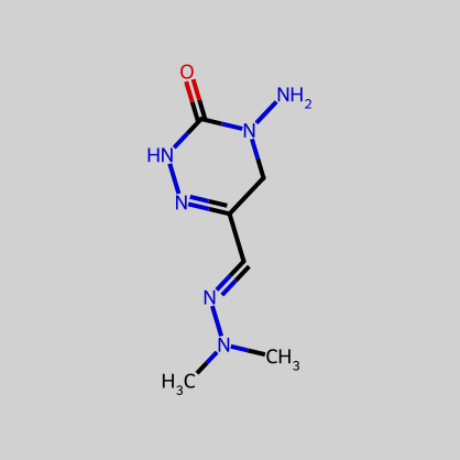 CN(C)N=CC1=NNC(=O)N(N)C1